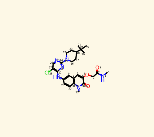 CNC(=O)COc1cc2cc(Nc3nc(N4CCC(C(C)(C)C)CC4)ncc3Cl)ccc2n(C)c1=O